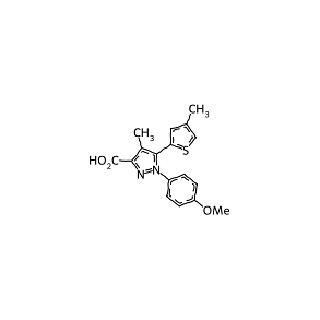 COc1ccc(-n2nc(C(=O)O)c(C)c2-c2cc(C)cs2)cc1